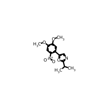 COc1cc(-c2cnc(C(C)C)o2)c([N+](=O)[O-])cc1OC